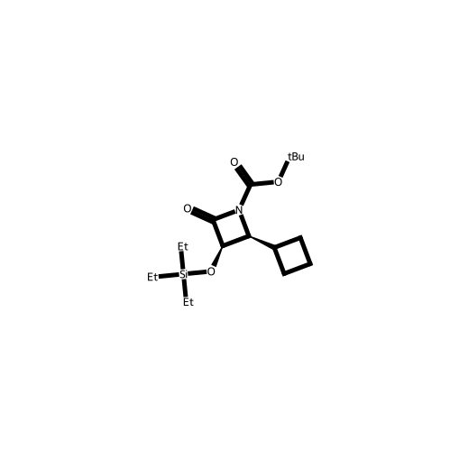 CC[Si](CC)(CC)O[C@H]1C(=O)N(C(=O)OC(C)(C)C)[C@H]1C1CCC1